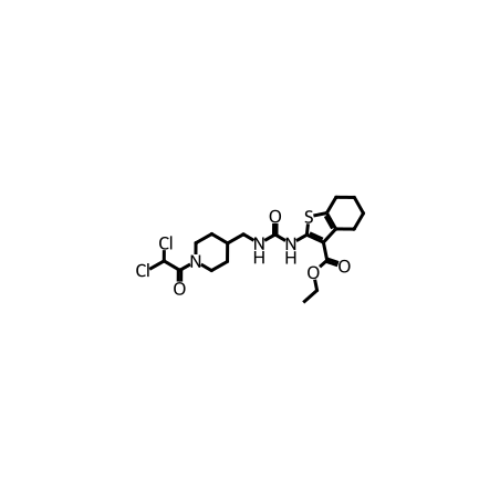 CCOC(=O)c1c(NC(=O)NCC2CCN(C(=O)C(Cl)Cl)CC2)sc2c1CCCC2